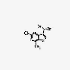 FC(F)(F)c1nc(Cl)nc2c(C(Br)Br)csc12